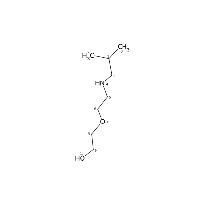 CC(C)CNCCOCCO